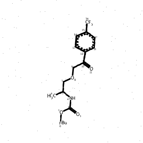 CCCCOC(=O)NC(C)COCC(=O)c1ccc(C(F)(F)F)cc1